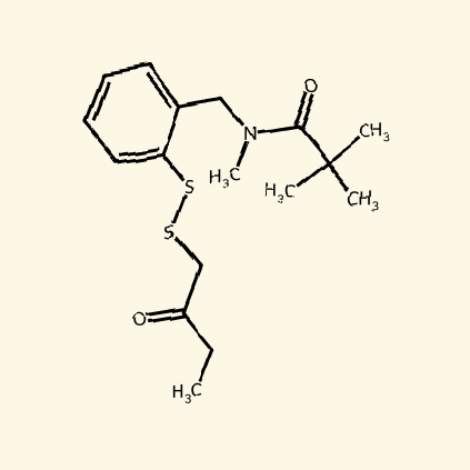 CCC(=O)CSSc1ccccc1CN(C)C(=O)C(C)(C)C